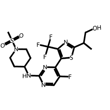 CC(CO)c1nc(C(F)(F)F)c(-c2nc(NC3CCN(S(C)(=O)=O)CC3)ncc2F)s1